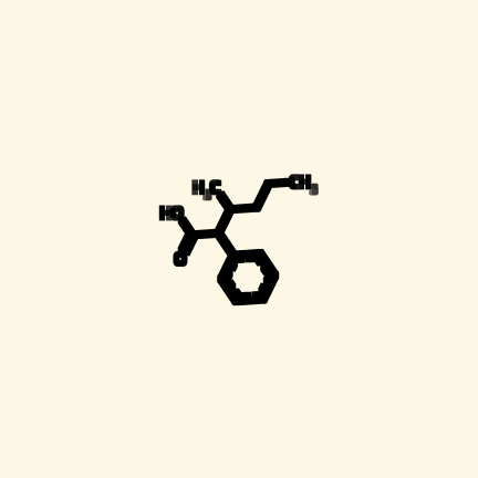 CCCC(C)C(C(=O)O)c1ccccc1